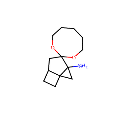 NC12CC13CCC3CC21OCCCCCO1